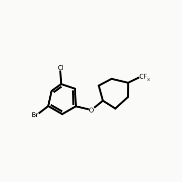 FC(F)(F)C1CCC(Oc2cc(Cl)cc(Br)c2)CC1